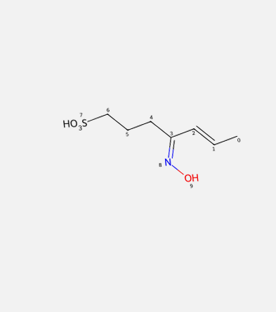 CC=CC(CCCS(=O)(=O)O)=NO